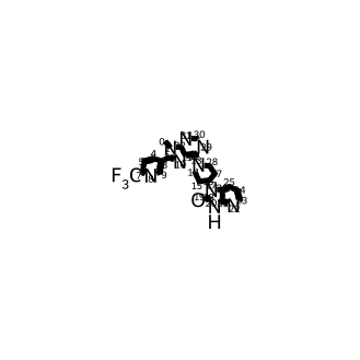 Cn1c(-c2ccc(C(F)(F)F)nc2)nc2c(N3CCC(n4c(=O)[nH]c5ncccc54)CC3)ncnc21